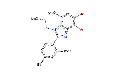 COCCn1c(-c2ccc(C(C)C)cc2OC)nc2c(Br)c(Br)cc(OC)c21